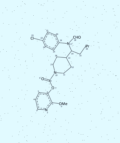 COc1ncccc1OC(=O)N1CCC(C(CC(C)C)N(C=O)c2ccc(Cl)cc2)CC1